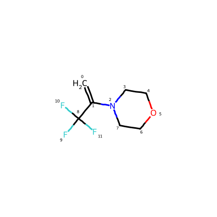 C=C(N1CCOCC1)C(F)(F)F